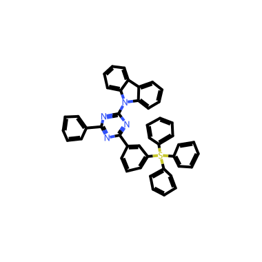 c1ccc(-c2nc(-c3cccc(S(c4ccccc4)(c4ccccc4)c4ccccc4)c3)nc(-n3c4ccccc4c4ccccc43)n2)cc1